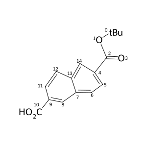 CC(C)(C)OC(=O)c1ccc2cc(C(=O)O)ccc2c1